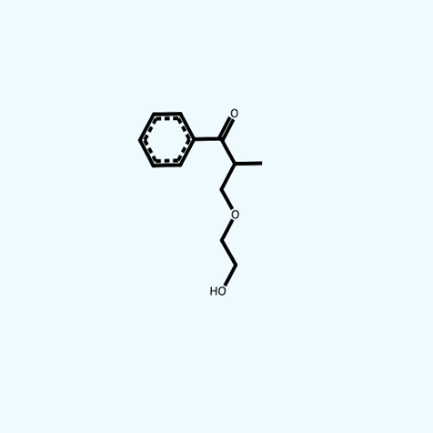 CC(COCCO)C(=O)c1ccccc1